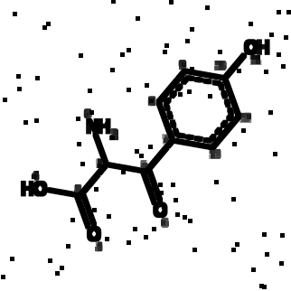 NC(C(=O)O)C(=O)c1ccc(O)cc1